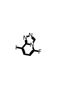 Fc1ccc(I)c2nncn12